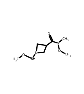 COBN1CC(C(=O)N(C)OC)C1